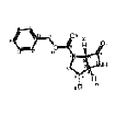 O=C1N[C@@H]2[C@H](Cl)CN(C(=O)OCc3ccccc3)[C@H]12